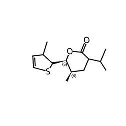 CC(C)C1C[C@@H](C)[C@@H](C2SC=CC2C)OC1=O